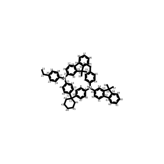 CCc1ccc(N(c2ccc(C3(c4ccc(N(c5ccc(CC)cc5)c5ccc6c(c5)C(C)(C)c5ccccc5-6)cc4)CCCCC3)cc2)c2ccc3c(c2)C(C)(C)c2ccccc2-3)cc1